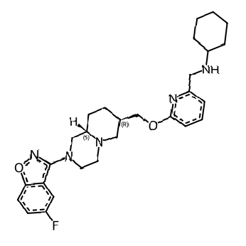 Fc1ccc2onc(N3CCN4C[C@H](COc5cccc(CNC6CCCCC6)n5)CC[C@H]4C3)c2c1